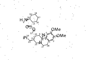 COc1cc2c(cc1OC)[C@H]1C[C@@H](COC(=O)[C@H]3CCCC[C@@H]3N)[C@H](CC(C)C)CN1CC2